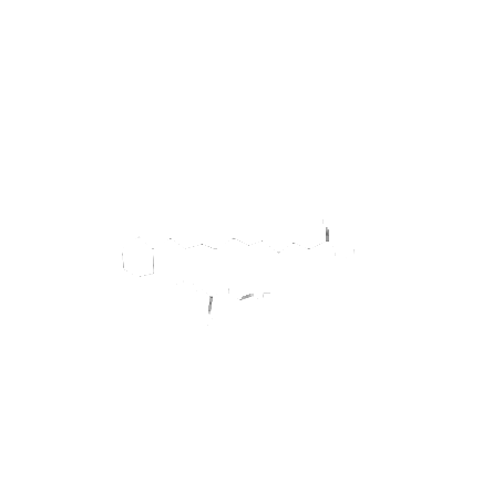 C=COC(C)=O.O=C(O)CCCCCCCCCCC1CCCCC1